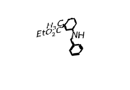 CCOC(=O)C1(C)CCCC(NCc2ccccc2)C1